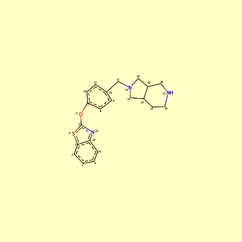 c1ccc2sc(Oc3ccc(CN4CC5CCNCC5C4)cc3)nc2c1